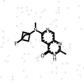 Cc1nc2cnc(N(C)C34CC(F)(C3)C4)cc2c(=O)[nH]1